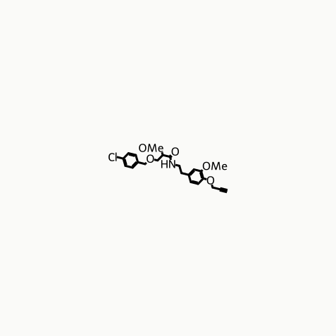 C#CCOc1ccc(CCNC(=O)C(COCc2ccc(Cl)cc2)OC)cc1OC